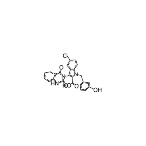 O=C(O)c1c(-n2c(=O)[nH]c3ccccc3c2=O)c2cc(Cl)ccc2n1Cc1cccc(O)c1